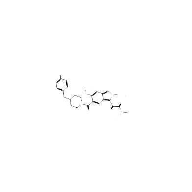 COc1cc2cn(C)c(C(=O)C(=O)N(C)C)c2cc1C(=O)N1CCC(Cc2ccc(F)cc2)CC1